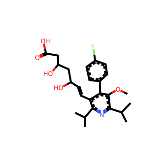 COc1c(C(C)C)nc(C(C)C)c(C=CC(O)CC(O)CC(=O)O)c1-c1ccc(F)cc1